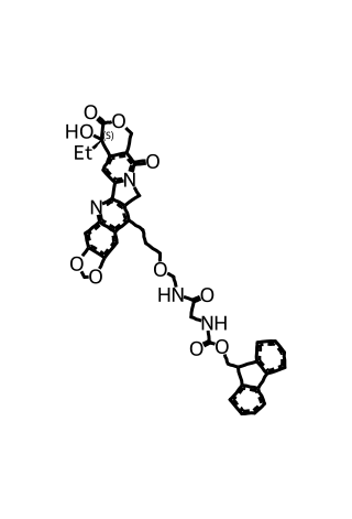 CC[C@@]1(O)C(=O)OCc2c1cc1n(c2=O)Cc2c-1nc1cc3c(cc1c2CCCOCNC(=O)CNC(=O)OCC1c2ccccc2-c2ccccc21)OCO3